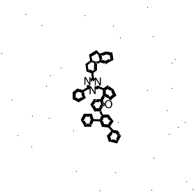 C1=CC2CC=C(c3nc(-c4ccccc4)nc(-c4cccc5oc6c(-c7ccc(-c8ccccc8)cc7-c7ccccc7)cccc6c45)n3)C=C2c2ccccc21